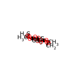 C=CC(=O)OC(CCC)Oc1ccc(C(=O)O[C@H]2CO[C@H]3[C@@H]2OC[C@H]3OC(=O)c2ccc(OC(CCC)OC(=O)C=C)cc2C)c(C)c1